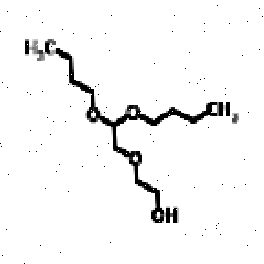 CCCCOC(COCCO)OCCCC